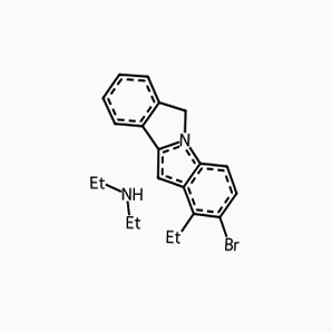 CCNCC.CCc1c(Br)ccc2c1cc1n2Cc2ccccc2-1